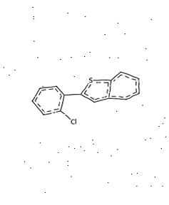 Clc1ccccc1-c1cc2ccccc2s1